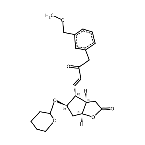 COCc1cccc(CC(=O)C=C[C@@H]2[C@H]3CC(=O)O[C@H]3C[C@H]2OC2CCCCO2)c1